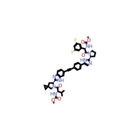 COC(=O)N[C@H](C(=O)N1CCC[C@H]1c1ncc(-c2ccc(C#Cc3ccc4nc([C@@H]5CC6(CC6)CN5C(=O)[C@@H](NC(=O)OC)C(C)C)[nH]c4c3)cc2)[nH]1)c1cc(F)cc(F)c1